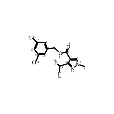 Cn1cc(C(=O)OCc2cc(Cl)cc(Cl)c2)c(C(F)F)n1